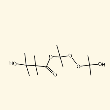 CC(C)(O)OOC(C)(C)OC(=O)C(C)(C)C(C)(C)O